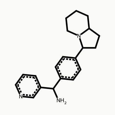 NC(c1ccc(C2CCC3CCCCN32)cc1)c1cccnc1